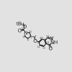 CC(C)(C)OC(=O)N1CC[C@H](COc2ccc3c(=O)[nH]ncc3c2)C1